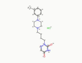 Cl.O=c1cnn(CCCCN2CCN(c3cccc(C(F)(F)F)c3)CC2)c(=O)[nH]1